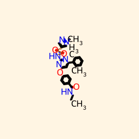 CCCNC(=O)c1ccc(Oc2cc(-c3c(C)cccc3C)nc(NS(=O)(=O)c3cnn(C)c3)n2)cc1